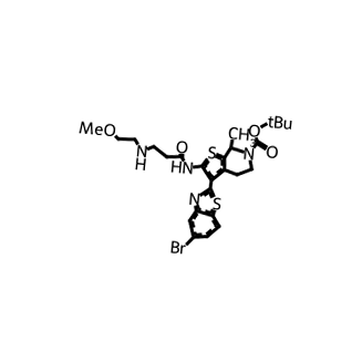 COCCNCCC(=O)Nc1sc2c(c1-c1nc3cc(Br)ccc3s1)CCN(C(=O)OC(C)(C)C)C2C